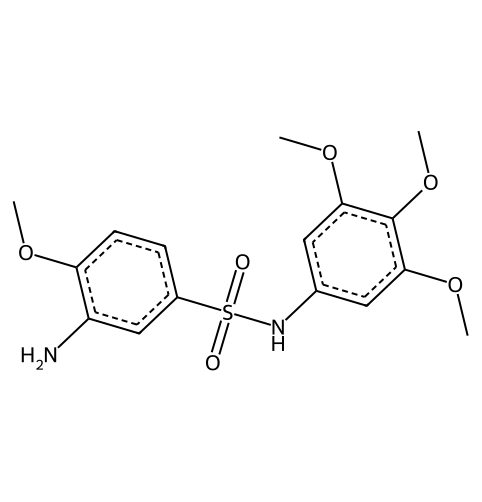 COc1ccc(S(=O)(=O)Nc2cc(OC)c(OC)c(OC)c2)cc1N